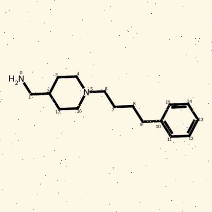 NCC1CCN(CCCCc2ccccc2)CC1